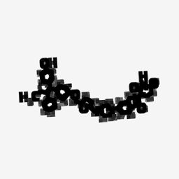 CCC(=C(c1ccc(O)cc1)c1ccc(OCC2CCC(CN3CCN(c4ccc5c(c4)CN(C4CCC(=O)NC4=O)C5=O)CC3)O2)cc1)c1ccccc1